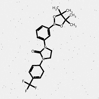 CC1(C)OB(c2cccc(N3CCN(C4C=CC(C(F)(F)F)=CC4)C3=O)c2)OC1(C)C